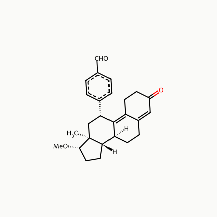 CO[C@H]1CC[C@H]2[C@@H]3CCC4=CC(=O)CCC4=C3[C@@H](c3ccc(C=O)cc3)C[C@]12C